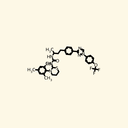 Cc1cc(C)c(N2CCCSC2NC(=O)NC(C)CCc2ccc(-c3ncn(-c4ccc(OC(F)(F)F)cc4)n3)cc2)c(C)c1